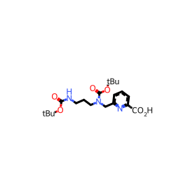 CC(C)(C)OC(=O)NCCCN(Cc1cccc(C(=O)O)n1)C(=O)OC(C)(C)C